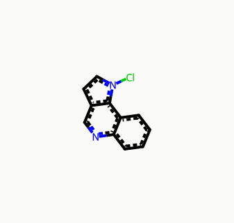 Cln1ccc2cnc3ccccc3c21